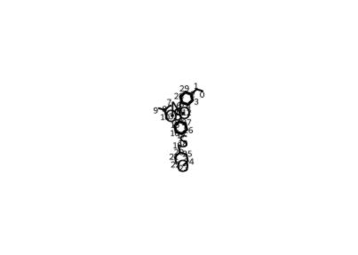 CCc1ccc(N(CC(C)C)S(=O)(=O)c2ccc(SCC3CCOCC3)cc2)cc1